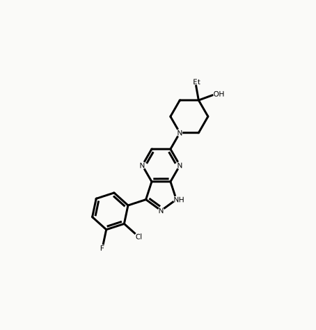 CCC1(O)CCN(c2cnc3c(-c4cccc(F)c4Cl)n[nH]c3n2)CC1